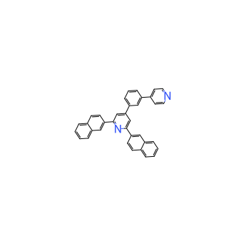 c1cc(-c2ccncc2)cc(-c2cc(-c3ccc4ccccc4c3)nc(-c3ccc4ccccc4c3)c2)c1